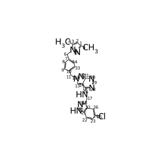 Cc1cc(C)n(Cc2ccc(Cn3cc4c(NCc5n[nH]c6ccc(Cl)cc56)ncnc4n3)cc2)n1